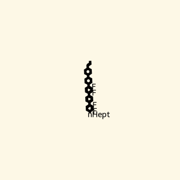 C/C=C/C1CCC(C2CCC(c3ccc(-c4ccc(C5=CCC(CCCCCCC)C(F)=C5F)cc4)c(F)c3F)CC2)CC1